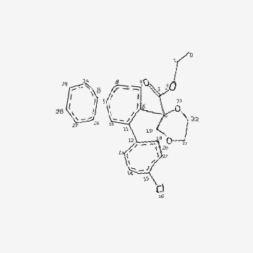 CCOC(=O)C1(c2ccccc2-c2ccc(Cl)cc2)COCCO1.[c]1ccccc1